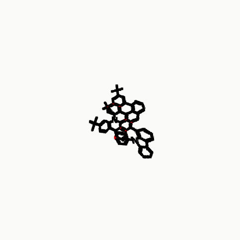 CC(C)(C)c1cc(-c2cccc3cccc(-c4ccccc4N(c4ccc(-c5cccc6c7ccccc7n(-c7ccccc7)c56)cc4)c4cc(C(C)(C)C)ccc4-c4ccccc4)c23)cc(C(C)(C)C)c1